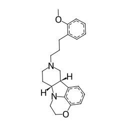 COc1ccccc1CCCN1CC[C@@H]2[C@H](C1)c1cccc3c1N2CCO3